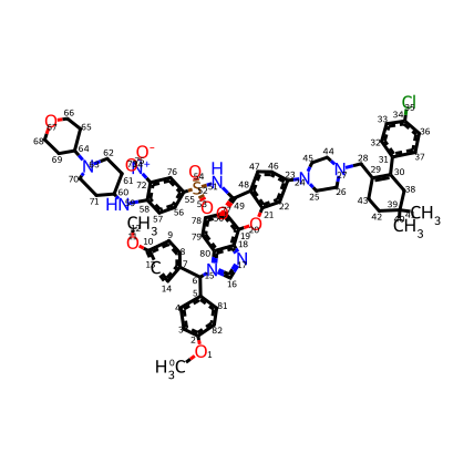 COc1ccc(C(c2ccc(OC)cc2)n2cnc3c(Oc4cc(N5CCN(CC6=C(c7ccc(Cl)cc7)CC(C)(C)CC6)CC5)ccc4C(=O)NS(=O)(=O)c4ccc(NC5CCN(C6CCOCC6)CC5)c([N+](=O)[O-])c4)cccc32)cc1